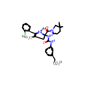 CC(=O)N1C(c2ccccc2F)C(C(=O)O)CC1(NC(=O)Nc1cccc(CC(=O)O)c1)C(=O)N1CCCC(C)(C)C1